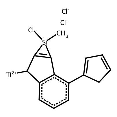 C[Si]1(Cl)C2=C1[CH]([Ti+2])c1cccc(C3=CC=CC3)c12.[Cl-].[Cl-]